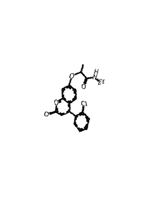 CCNC(=O)C(C)Oc1ccc2c(-c3ccccc3Cl)cc(=O)oc2c1